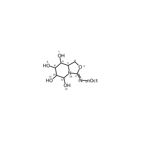 CCCCCCCCN=C1OCC2C(O)C(O)C(O)C(O)N12